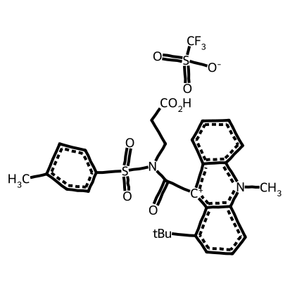 Cc1ccc(S(=O)(=O)N(CCC(=O)O)C(=O)[c+]2c3ccccc3n(C)c3cccc(C(C)(C)C)c32)cc1.O=S(=O)([O-])C(F)(F)F